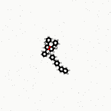 c1ccc(N(c2ccc(-c3ccc(-c4ccc5ccccc5c4)cc3)cc2)c2ccc3c(c2)oc2ccccc23)c(-c2ccc3c(c2)sc2ccccc23)c1